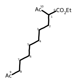 CCOC(=O)C(CCCCCCCC(C)=O)C(C)=O